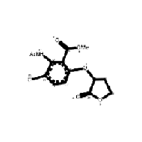 COC(=O)c1c(OC2CCOC2=O)ccc(Cl)c1NC(C)=O